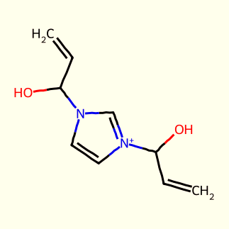 C=CC(O)n1cc[n+](C(O)C=C)c1